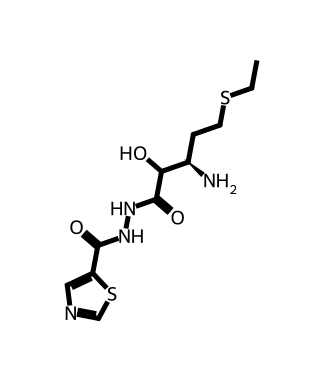 CCSCC[C@@H](N)C(O)C(=O)NNC(=O)c1cncs1